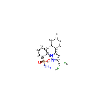 CC1CCC(c2cc(C(F)F)nn2-c2ccccc2S(N)(=O)=O)CC1